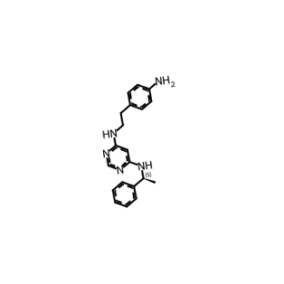 C[C@H](Nc1cc(NCCc2ccc(N)cc2)ncn1)c1ccccc1